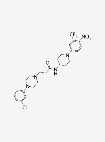 O=C(CCN1CCN(c2cccc(Cl)c2)CC1)NC1CCN(c2ccc([N+](=O)[O-])c(C(F)(F)F)c2)CC1